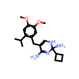 COc1cc(CC2=CNC(N)(C3CCC3)N=C2N)c(C(C)C)cc1OC